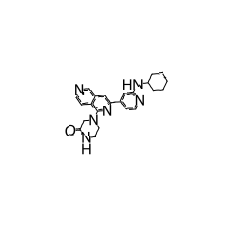 O=C1CN(c2nc(-c3ccnc(NC4CCCCC4)c3)cc3cnccc23)CCN1